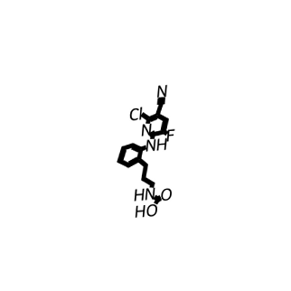 N#Cc1cc(F)c(Nc2ccccc2CCCNC(=O)O)nc1Cl